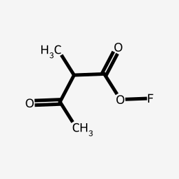 CC(=O)C(C)C(=O)OF